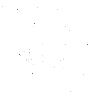 CC(C)(C)OC(=O)N1CC2CC1C(n1nc(-c3ccc(S(=O)(=O)c4ccccc4)cc3)c3c(N)ncnc31)C2